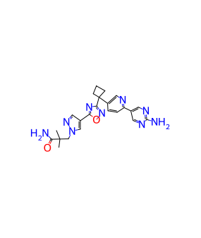 CC(C)(Cn1cc(-c2nc(C3(c4ccc(-c5cnc(N)nc5)nc4)CCC3)no2)cn1)C(N)=O